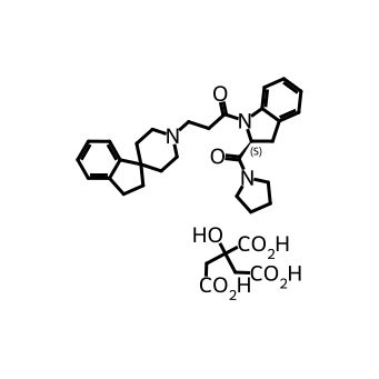 O=C(O)CC(O)(CC(=O)O)C(=O)O.O=C([C@@H]1Cc2ccccc2N1C(=O)CCN1CCC2(CCc3ccccc32)CC1)N1CCCC1